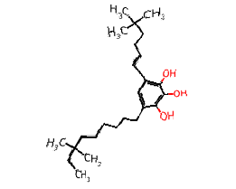 CCC(C)(C)CCCCCCc1cc(CCCCC(C)(C)C)c(O)c(O)c1O